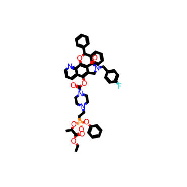 CCOC(=O)C(C)OP(=O)(CCN1CCN(C(=O)Oc2c3c(c(OC(c4ccccc4)c4ccccc4)c4ncccc24)C(=O)N(Cc2ccc(F)cc2)C3)CC1)Oc1ccccc1